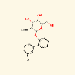 CCc1cccc(-c2ccccc2OC2OC(CO)C(O)C(O)C2NC(C)=O)c1